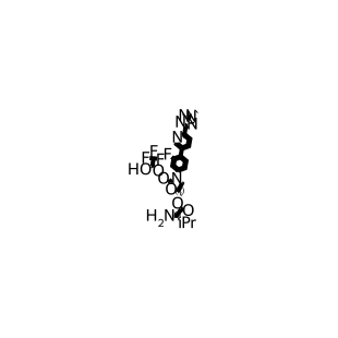 CC(C)[C@H](N)C(=O)OC[C@H]1CN(c2ccc(-c3ccc(-c4nnn(C)n4)nc3)c(F)c2)C(=O)O1.O=C(O)C(F)(F)F